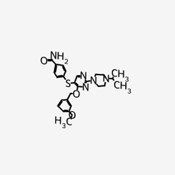 COc1cccc(COc2nc(N3CCN(C(C)C)CC3)ncc2Sc2ccc(C(N)=O)cc2)c1